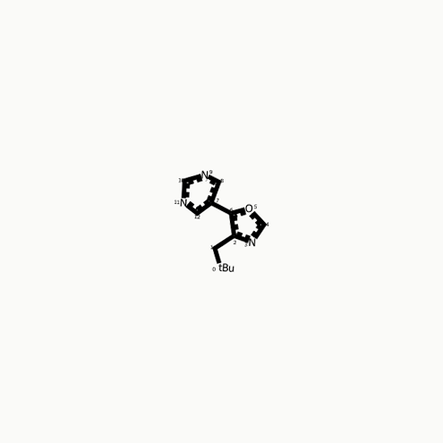 CC(C)(C)Cc1ncoc1-c1cncnc1